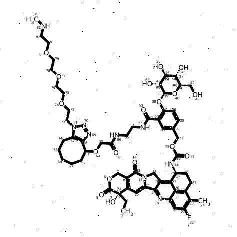 CC[C@@]1(O)C(=O)OCc2c1cc1n(c2=O)Cc2c-1nc1cc(F)c(C)c3c1c2[C@@H](NC(=O)OCc1ccc(O[C@@H]2O[C@H](CO)[C@@H](O)[C@H](O)[C@H]2O)c(C(=O)NCCNC(=O)COC2CCCCCc4c2nnn4CCOCCOCCOCCNC)c1)CC3